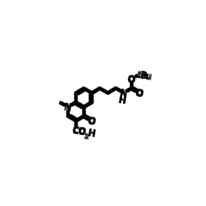 Cn1cc(C(=O)O)c(=O)c2cc(CCCNC(=O)OC(C)(C)C)ccc21